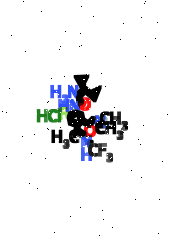 C[C@H](C(=O)NCC(F)(F)F)c1cc(F)c(NC(=O)C(N)=C(C2CC2)C2CC2)cc1CCN(C)C.Cl